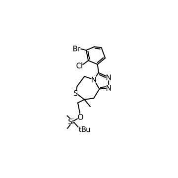 CC1(CO[Si](C)(C)C(C)(C)C)Cc2nnc(-c3cccc(Br)c3Cl)n2CCS1